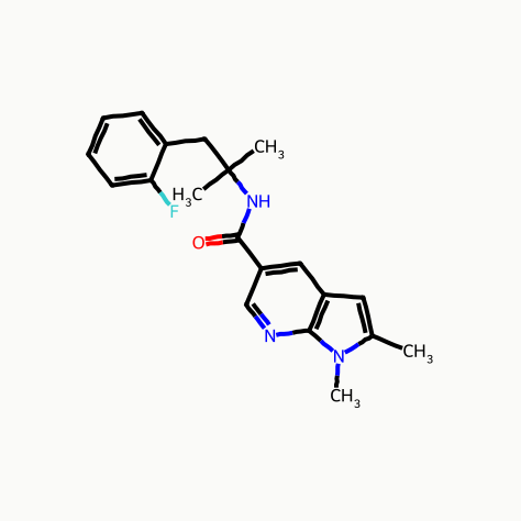 Cc1cc2cc(C(=O)NC(C)(C)Cc3ccccc3F)cnc2n1C